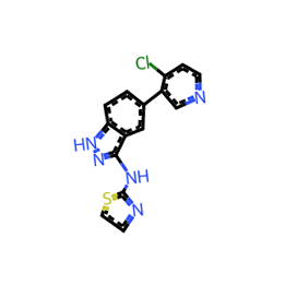 Clc1ccncc1-c1ccc2[nH]nc(Nc3nccs3)c2c1